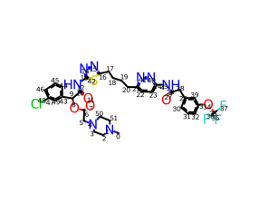 CN1CCN(CC(=O)OC(C(=O)Nc2nnc(CCCCc3ccc(NC(=O)Cc4cccc(OC(F)(F)F)c4)nn3)s2)c2cccc(Cl)c2)CC1